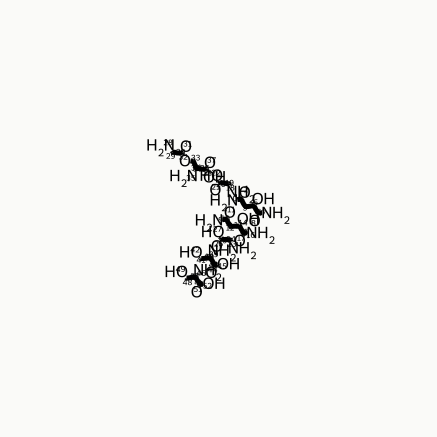 NC(=O)CC(O)C(N)=O.NC(=O)CC(O)C(N)=O.NCC(=O)O.NCC(=O)O.NCC(=O)OC[C@H](N)C(=O)O.N[C@@H](CO)C(=O)O.N[C@@H](CO)C(=O)O